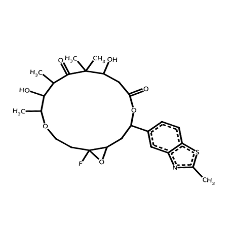 Cc1nc2cc(C3CC4OC4(F)CCOC(C)C(O)C(C)C(=O)C(C)(C)C(O)CC(=O)O3)ccc2s1